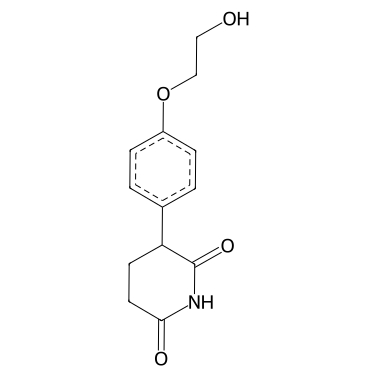 O=C1CCC(c2ccc(OCCO)cc2)C(=O)N1